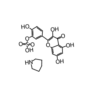 C1CCNCC1.O=c1c(O)c(-c2ccc(O)c(OS(=O)(=O)O)c2)oc2cc(O)cc(O)c12